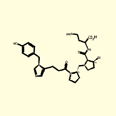 CC[C@H]1CCN(C[C@@H]2CCCN2C(=O)CCc2cncn2Cc2ccc(C#N)cc2)C1C(=O)NC(CCSC)C(=O)O